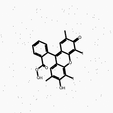 Cc1cc2c(-c3ccccc3C(=O)OO)c3cc(C)c(=O)c(I)c-3oc2c(I)c1O